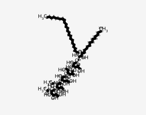 CCCCCCCC/C=C\CCCCCCCCCCCCCCCC(=O)N[C@@H](CO[C@@H]1OC(CO)[C@@H](O[C@@H]2OC(CO)[C@H](O[C@@H]3OC(CO)[C@H](O)[C@H](O[C@@H]4OC(CO)[C@H](O)[C@H](O[C@@H]5OC(CO)[C@H](O)[C@H](O)C5NC(C)=O)C4NC(C)=O)C3O)[C@H](O)C2O)[C@H](O)C1O)[C@H](O)/C=C/CCCCCCCCCCCCC